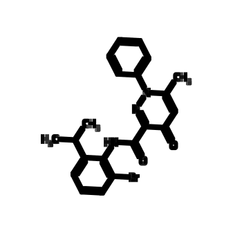 Cc1cc(=O)c(C(=O)Nc2c(Br)cccc2C(C)C)nn1-c1ccccc1